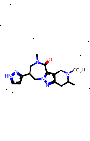 CC1Cc2nn3c(c2CN1C(=O)O)C(=O)N(C)CC(c1cc[nH]n1)C3